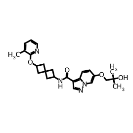 Cc1cccnc1OC1CC2(CC(NC(=O)c3cnn4cc(OCC(C)(C)O)ccc34)C2)C1